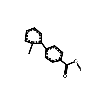 Cc1ccccc1-c1ccc(C(=O)OI)cc1